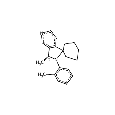 Cc1ccccc1N1[C@@H](C)c2cncnc2C12CCCCC2